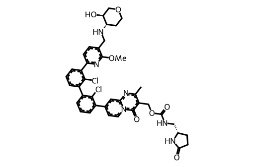 COc1nc(-c2cccc(-c3cccc(-c4ccn5c(=O)c(COC(=O)NC[C@@H]6CCC(=O)N6)c(C)nc5c4)c3Cl)c2Cl)ccc1CN[C@H]1CCOC[C@@H]1O